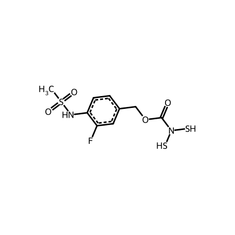 CS(=O)(=O)Nc1ccc(COC(=O)N(S)S)cc1F